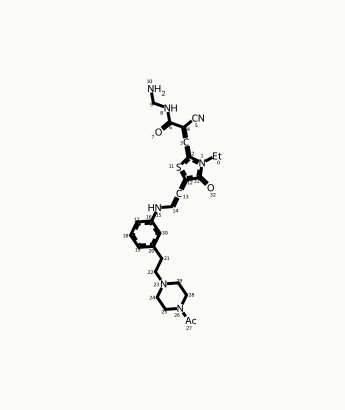 CCn1c(=C=C(C#N)C(=O)NCN)sc(=C=CNc2cccc(CCN3CCN(C(C)=O)CC3)c2)c1=O